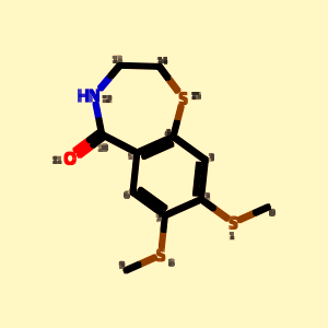 CSc1cc2c(cc1SC)C(=O)NCCS2